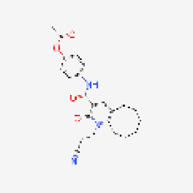 CC(=O)Oc1ccc(NC(=O)c2cc3c(n(CCC#N)c2=O)CCCCCC3)cc1